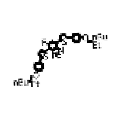 CCCCC(CC)COc1ccc(-c2ccc(-c3c(F)cc(C4=CCC(c5ccc(OCC(CC)CCCC)cc5)S4)c4nsnc34)s2)cc1